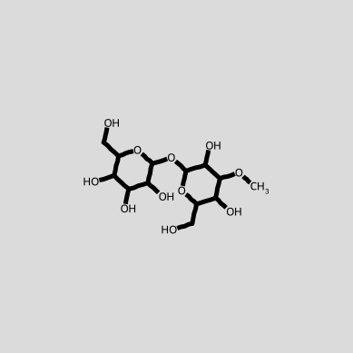 COC1C(O)C(CO)OC(OC2OC(CO)C(O)C(O)C2O)C1O